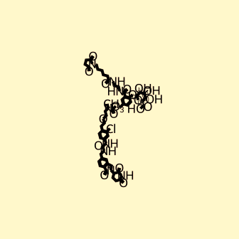 CN(CCOCCc1ccc(NC(=O)NCc2ccc3c(c2)CN(C2CCC(=O)NC2=O)C3=O)cc1Cl)C(=O)OCc1ccc(O[C@@H]2O[C@H](C(=O)O)[C@@H](O)[C@H](O)[C@H]2O)c(C(=O)NCCNC(=O)CCCCCN2C(=O)CCC2=O)c1